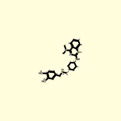 CN(C)c1nc(N[C@H]2CC[C@@H](CNCc3ccc(O)c(O)c3)CC2)nc2ccccc12